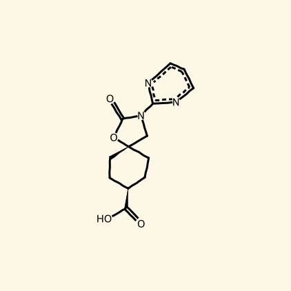 O=C1O[C@]2(CC[C@H](C(=O)O)CC2)CN1c1ncccn1